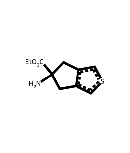 CCOC(=O)C1(N)Cc2cscc2C1